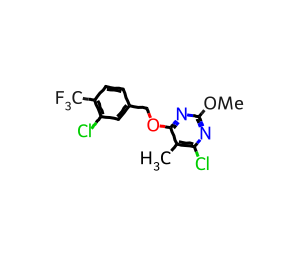 COc1nc(Cl)c(C)c(OCc2ccc(C(F)(F)F)c(Cl)c2)n1